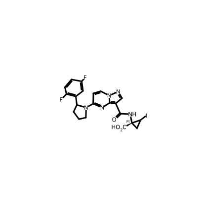 O=C(N[C@@]1(C(=O)O)CC1I)c1cnn2ccc(N3CCCC3c3cc(F)ccc3F)nc12